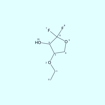 CCOC1COC(F)(F)C1O